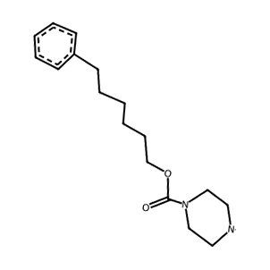 O=C(OCCCCCCc1ccccc1)N1CC[N]CC1